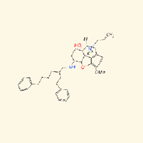 C=CCN1CC[C@]23c4c5ccc(OC)c4OC2C(NCC(CCCCc2ccccc2)CCc2ccccc2)CC[C@@]3(O)[C@H]1C5